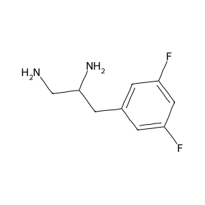 NCC(N)Cc1cc(F)cc(F)c1